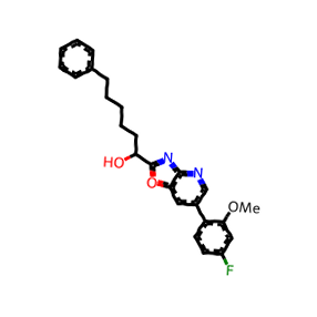 COc1cc(F)ccc1-c1cnc2nc(C(O)CCCCCc3ccccc3)oc2c1